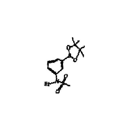 CCN(c1cccc(B2OC(C)(C)C(C)(C)O2)c1)S(C)(=O)=O